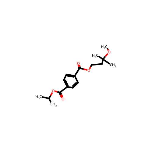 COC(C)(C)CCOC(=O)c1ccc(C(=O)OC(C)C)cc1